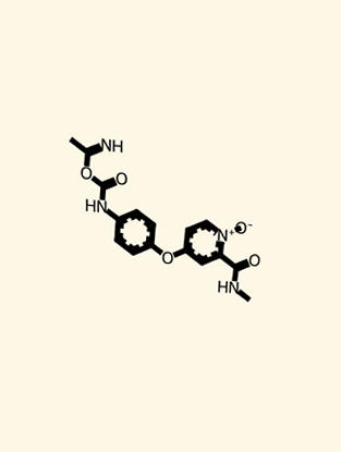 CNC(=O)c1cc(Oc2ccc(NC(=O)OC(C)=N)cc2)cc[n+]1[O-]